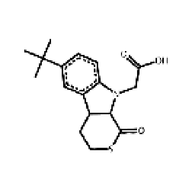 CC(C)(C)c1ccc2c(c1)C1CCSC(=O)C1N2CC(=O)O